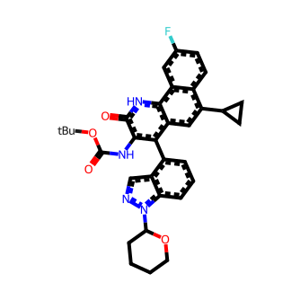 CC(C)(C)OC(=O)Nc1c(-c2cccc3c2cnn3C2CCCCO2)c2cc(C3CC3)c3ccc(F)cc3c2[nH]c1=O